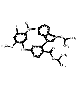 COc1cc(F)c([N+](=O)[O-])cc1Nc1ncc(C(=O)OC(C)C)c(-c2cn(OC(C)C)c3ccccc23)n1